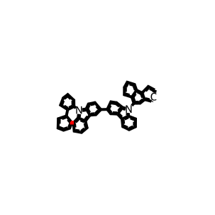 c1ccc(-c2ccccc2-n2c3ccccc3c3cc(-c4ccc5c(c4)c4ccccc4n5-c4cc5ccccc5c5ccccc45)ccc32)cc1